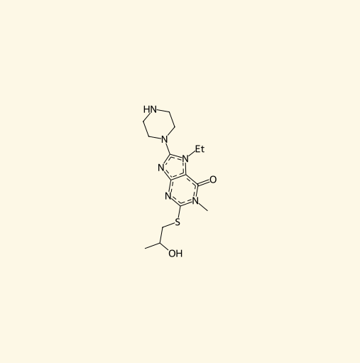 CCn1c(N2CCNCC2)nc2nc(SCC(C)O)n(C)c(=O)c21